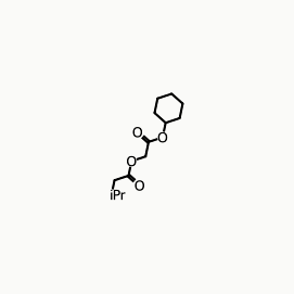 CC(C)CC(=O)OCC(=O)OC1CCCCC1